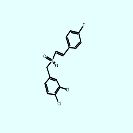 O=S(=O)(C=Cc1ccc(F)cc1)Cc1ccc(Cl)c(Cl)c1